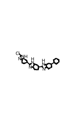 Clc1nc2ccc(-c3nc4ccc(-c5nc6ccc(-c7ccccc7)cc6[nH]5)cc4[nH]3)cc2[nH]1